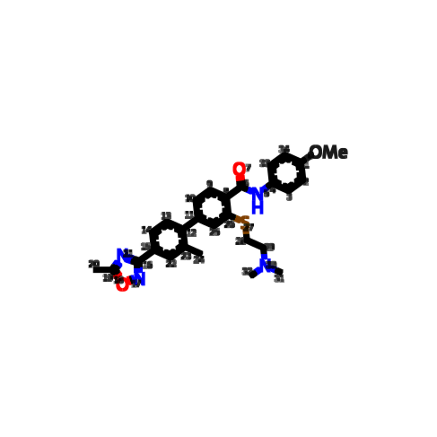 COc1ccc(NC(=O)c2ccc(-c3ccc(-c4noc(C)n4)cc3C)cc2SCCN(C)C)cc1